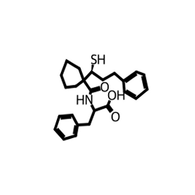 O=C(O)C(Cc1ccccc1)NC(=O)C1([C@@H](S)CCc2ccccc2)CCCCC1